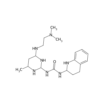 CC1CC(NCCN(C)C)NC(NC(=O)NC2CCc3ccccc3N2)N1